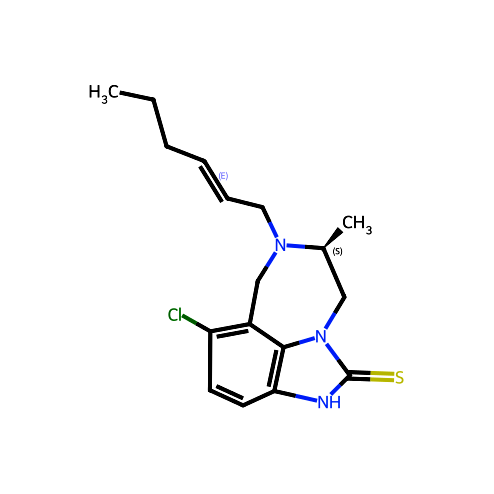 CCC/C=C/CN1Cc2c(Cl)ccc3[nH]c(=S)n(c23)C[C@@H]1C